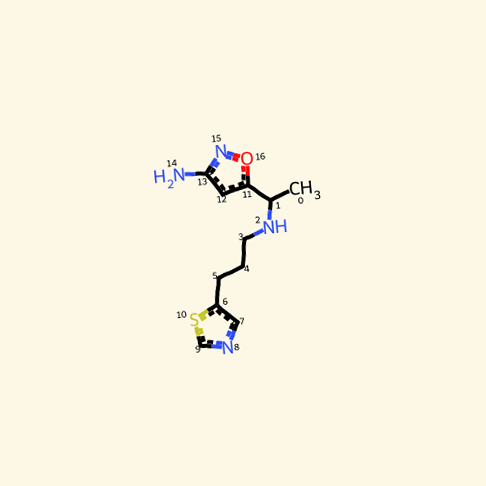 CC(NCCCc1cncs1)c1cc(N)no1